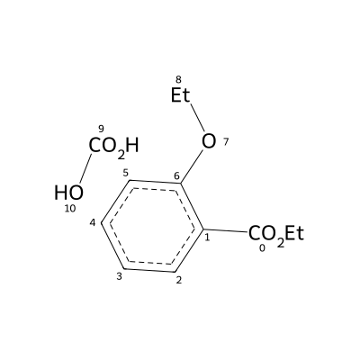 CCOC(=O)c1ccccc1OCC.O=C(O)O